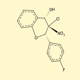 O=[N+]([O-])[C@]1(Cl)[C@@H](O)c2ccccc2O[C@H]1c1ccc(F)cc1